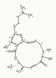 C[C@@H]1/C=C\C(=O)C(O)[C@@H](O)C/C=C/c2cc(OCCN(C)C)cc(O)c2C(=O)O[C@H]1C